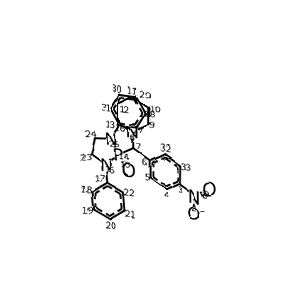 O=[N+]([O-])c1ccc(C(N2CCCCC2)P2(=O)N(c3ccccc3)CCN2c2ccccc2)cc1